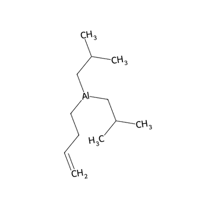 C=CC[CH2][Al]([CH2]C(C)C)[CH2]C(C)C